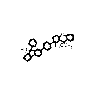 CC1(C)c2ccccc2Oc2ccc(-c3ccc(-c4ccc5c(c4)C(C)(c4ccccc4)c4ccccc4-5)cc3)cc21